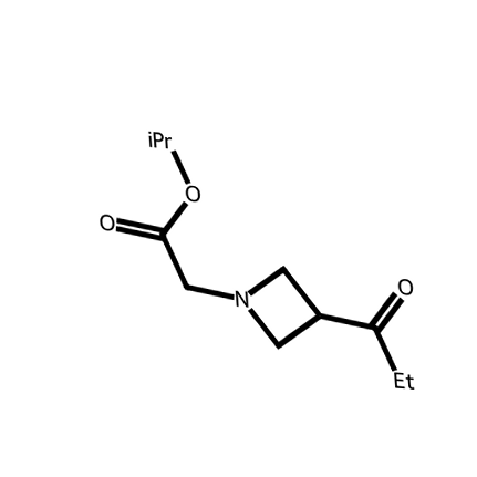 CCC(=O)C1CN(CC(=O)OC(C)C)C1